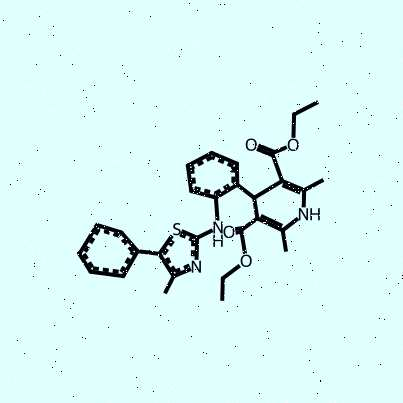 CCOC(=O)C1=C(C)NC(C)=C(C(=O)OCC)C1c1ccccc1Nc1nc(C)c(-c2ccccc2)s1